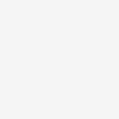 COC(OC)c1nc(N(C)C(=O)OC(C)(C)C)ccc1C1CCN(C(=O)OC(C)(C)C)CC1